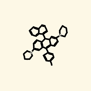 Cc1ccc(C2=C3C=CC(N4CCCCC4)=CC3C(c3cccc4ccccc34)c3ccc(N4CCCCC4)cc32)cc1